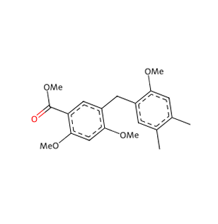 COC(=O)c1cc(Cc2cc(C)c(C)cc2OC)c(OC)cc1OC